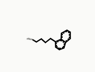 [CH2]CCCCCCCCCCCCc1cccc2ccccc12